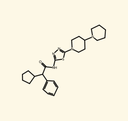 O=C(Nc1nnc(N2CCC(N3CCCCC3)CC2)s1)C(c1ccccc1)C1CCCC1